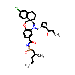 C=CC[C@H](C)C/[SH](=O)=N\C(=O)c1ccc2c(c1)N(C[C@@H]1CC[C@H]1[C@@H](O)C=C)C[C@@]1(CCCc3cc(Cl)ccc31)CO2